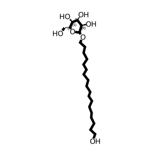 OCCCCCCCCCCCCCCCCCCOC1O[C@H](CO)[C@@H](O)[C@H](O)[C@H]1O